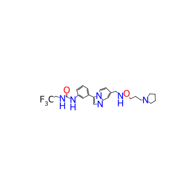 O=C(NCC(F)(F)F)Nc1cccc(-c2cnc3cc(CNOCCCN4CCCC4)ccn23)c1